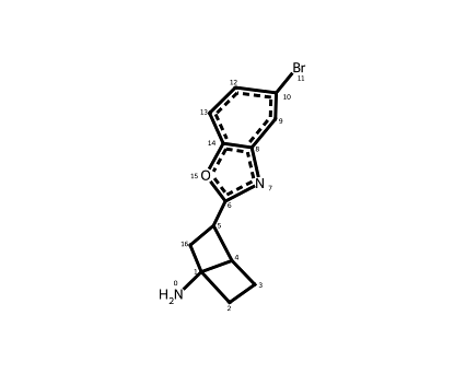 NC12CCC1C(c1nc3cc(Br)ccc3o1)C2